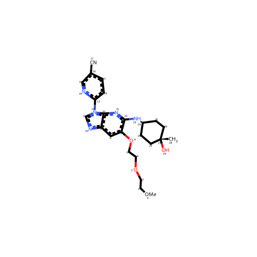 COCCOCCOc1cc2ncn(-c3ccc(C#N)cn3)c2nc1N[C@H]1CC[C@@](C)(O)CC1